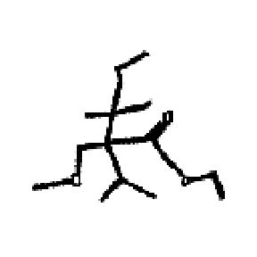 CCOC(=O)C(COC)(C(C)C)C(C)(C)CC